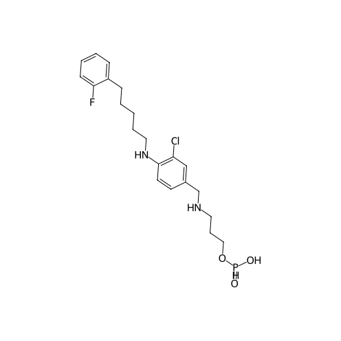 O=[PH](O)OCCCNCc1ccc(NCCCCCc2ccccc2F)c(Cl)c1